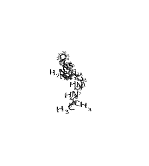 C/C=C(\C)CCNCCCNCC1CCC(n2cc(-c3nc(Oc4ccccc4)cs3)c3c(N)ncnc32)C1